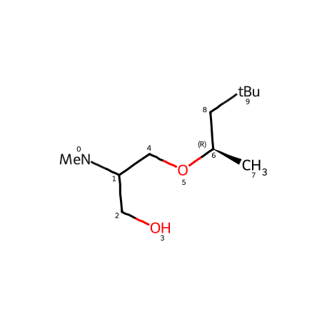 CNC(CO)CO[C@H](C)CC(C)(C)C